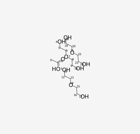 CC(=O)O.OCCOCCO.OCCOCCO.OCCOCCO